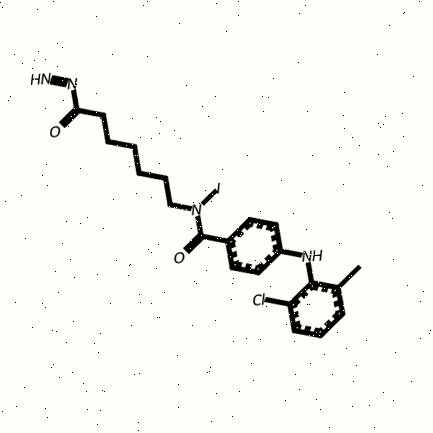 Cc1cccc(Cl)c1Nc1ccc(C(=O)N(I)CCCCCCC(=O)N=N)cc1